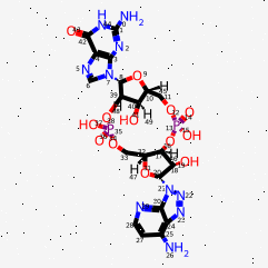 Nc1nc2c(ncn2[C@@H]2O[C@@H]3COP(=O)(O)O[C@H]4[C@@H](O)[C@H](n5nnc6c(N)ccnc65)O[C@@H]4COP(=O)(O)O[C@@H]2[C@@H]3O)c(=O)[nH]1